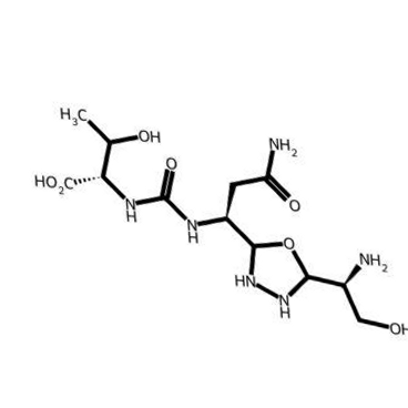 CC(O)[C@H](NC(=O)N[C@@H](CC(N)=O)C1NNC([C@@H](N)CO)O1)C(=O)O